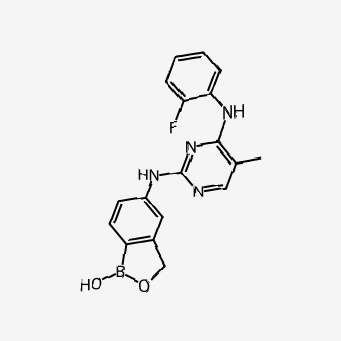 Cc1cnc(Nc2ccc3c(c2)COB3O)nc1Nc1ccccc1F